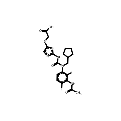 CC(=O)Nc1c(F)ccc(N(CC2CCCC2)C(=O)Nc2ncc(SCC(=O)O)s2)c1F